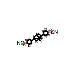 CC12CC3(C)CC(c4ccc(OC#N)cc4)(C1)CC(c1ccc(OC#N)cc1)(C2)C3